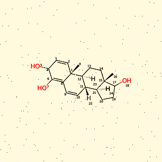 C[C@]12C=CC(O)C(O)=C1C=C[C@@H]1[C@@H]2CC[C@]2(C)C(O)CC[C@@H]12